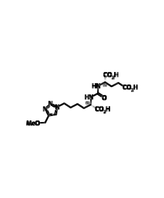 COCc1cn(CCCC[C@H](NC(=O)N[C@@H](CCC(=O)O)C(=O)O)C(=O)O)nn1